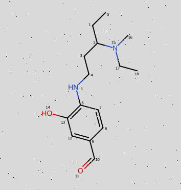 CCC(CCNc1ccc(C=O)cc1O)N(C)CC